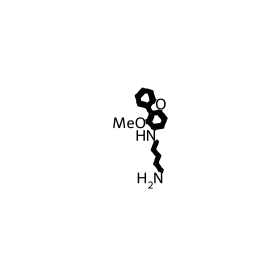 COc1c(NCCCCCN)ccc2oc3ccccc3c12